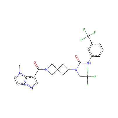 Cn1ccn2ncc(C(=O)N3CC4(CC(N(CC(F)(F)F)C(=O)Nc5cccc(C(F)(F)F)c5)C4)C3)c12